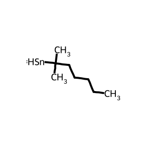 CCCCC[C](C)(C)[SnH]